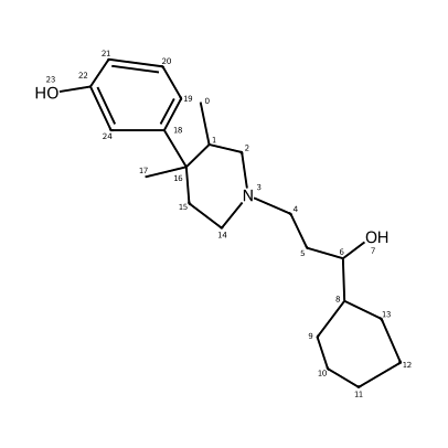 CC1CN(CCC(O)C2CCCCC2)CCC1(C)c1cccc(O)c1